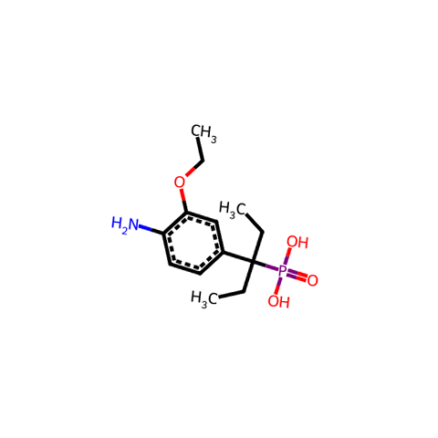 CCOc1cc(C(CC)(CC)P(=O)(O)O)ccc1N